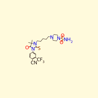 CC1(C)C(=O)N(c2ccc(C#N)c(C(F)(F)F)c2)C(=S)N1CCCCCN1CCN(S(N)(=O)=O)CC1